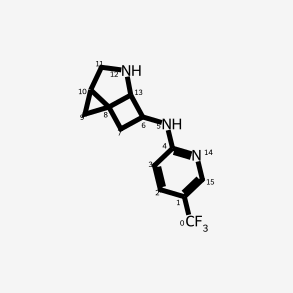 FC(F)(F)c1ccc(NC2CC34CC3CNC24)nc1